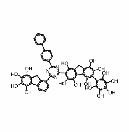 Oc1c(O)c(O)c(-c2c(O)c(O)c3c(c2O)-c2c(O)c(O)c(-c4nc(-c5ccc(-c6ccccc6)cc5)nc(-c5cccc6c5Cc5c(O)c(O)c(O)c(O)c5-6)n4)c(O)c2C3)c(O)c1O